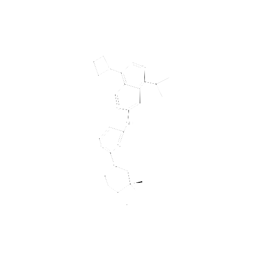 CC(C)c1ncc(N2CC[C@H]2C)c2cnc(Nc3ccnc(N4CC[C@@H](O)[C@@](C)(F)C4)n3)cc12